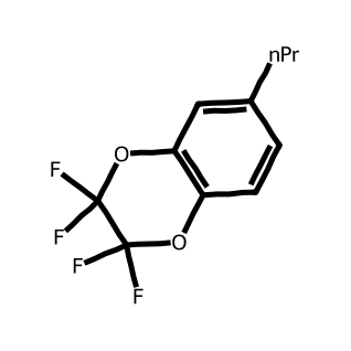 CCCc1ccc2c(c1)OC(F)(F)C(F)(F)O2